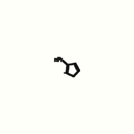 CCCC1=[C]CC=C1